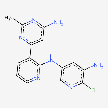 Cc1nc(N)cc(-c2cccnc2Nc2cnc(Cl)c(N)c2)n1